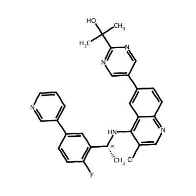 C[C@@H](Nc1c(Cl)cnc2ccc(-c3cnc(C(C)(C)O)nc3)cc12)c1cc(-c2cccnc2)ccc1F